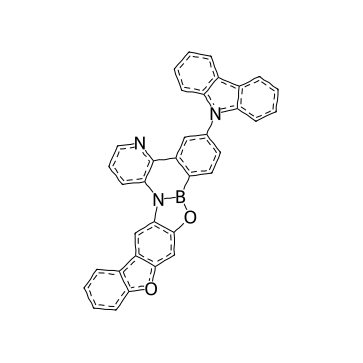 c1cnc2c(c1)N1B(Oc3cc4oc5ccccc5c4cc31)c1ccc(-n3c4ccccc4c4ccccc43)cc1-2